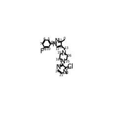 Cc1nn(-c2cccc(F)c2)cc1CN1CCN(c2nccnc2Cl)CC1